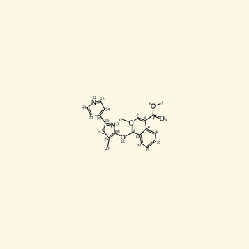 CO/C=C(/C(=O)OC)c1ccccc1COc1nc(-c2ccncc2)sc1C